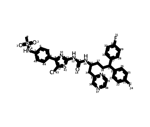 CS(=O)(=O)Nc1ccc(-c2nc(NC(=O)NC(CCC(c3ccc(F)cc3)c3ccc(F)cc3)Cc3cnccn3)sc2Cl)cc1